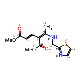 COC(=O)C=CC(C(=O)OC)=C(C)NCc1nccs1